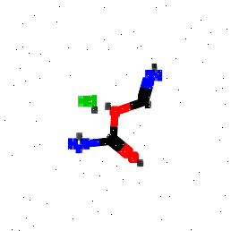 Cl.N=COC(N)=O